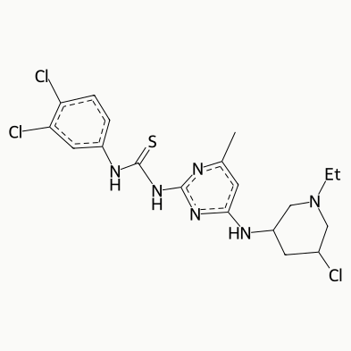 CCN1CC(Cl)CC(Nc2cc(C)nc(NC(=S)Nc3ccc(Cl)c(Cl)c3)n2)C1